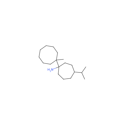 CC(C)C1CCCC(N)(C2(C)CCCCCCC2)CC1